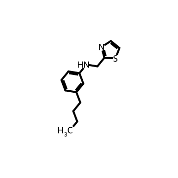 CCCCc1cccc(NCc2nccs2)c1